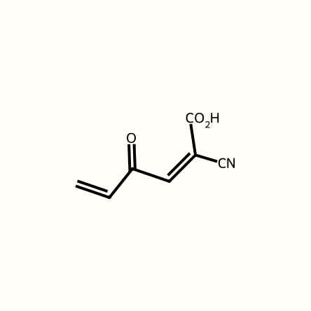 C=CC(=O)C=C(C#N)C(=O)O